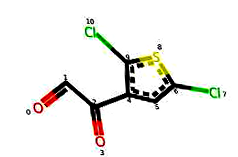 O=CC(=O)c1cc(Cl)sc1Cl